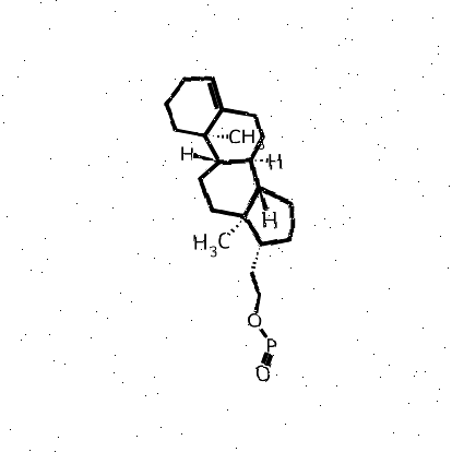 C[C@]12CC[C@H]3[C@@H](CCC4=CCCC[C@@]43C)[C@@H]1CC[C@@H]2CCOP=O